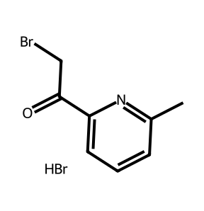 Br.Cc1cccc(C(=O)CBr)n1